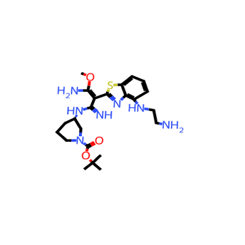 CO/C(N)=C(/C(=N)N[C@@H]1CCCN(C(=O)OC(C)(C)C)C1)c1nc2c(NCCN)cccc2s1